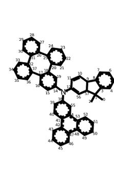 CC1(C)c2ccccc2C2C=CC(N(c3ccc4c(c3)-c3ccccc3-c3ccccc3-c3ccccc3-4)c3ccc4c5ccccc5c5ccccc5c4c3)=CC21